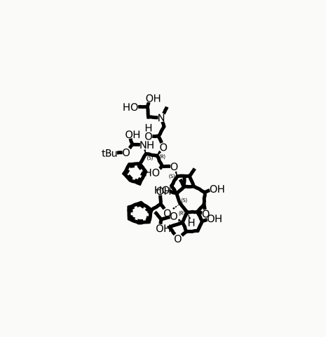 CC(O)O[C@@]12COC1CC(O)C13OC1C(O)C1C(C)[C@@H](OC(O)[C@H](OC(O)CN(C)CC(O)O)[C@@H](NC(O)OC(C)(C)C)c4ccccc4)CC(O)([C@@H](OC(O)c4ccccc4)[C@@H]32)C1(C)C